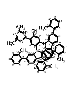 Cc1nc(C)nc(-c2cc(-n3c4cc(-c5ccccc5C)ccc4c4ccc(-c5ccccc5C)cc43)c(-n3c4cc(-c5ccccc5C)ccc4c4ccc(-c5ccccc5C)cc43)cc2C#N)n1